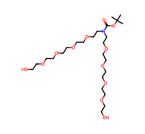 CC(C)(C)OC(=O)N(CCOCCOCCOCCOCCO)CCOCCOCCOCCOCCO